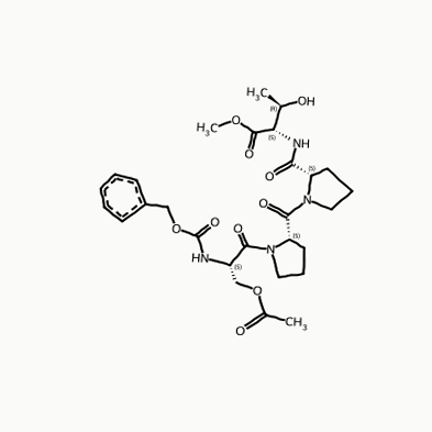 COC(=O)[C@@H](NC(=O)[C@@H]1CCCN1C(=O)[C@@H]1CCCN1C(=O)[C@H](COC(C)=O)NC(=O)OCc1ccccc1)[C@@H](C)O